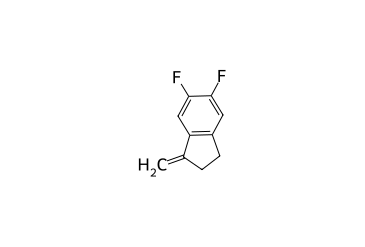 C=C1CCc2cc(F)c(F)cc21